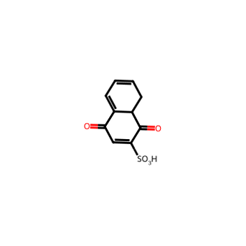 O=C1C=C(S(=O)(=O)O)C(=O)C2CC=CC=C12